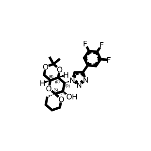 CC1(C)OC[C@H]2O[C@@]3(CCCCO3)[C@H](O)[C@@H](n3cc(-c4cc(F)c(F)c(F)c4)nn3)[C@H]2O1